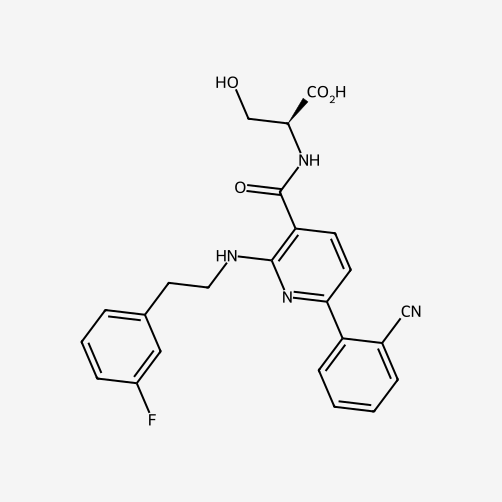 N#Cc1ccccc1-c1ccc(C(=O)N[C@@H](CO)C(=O)O)c(NCCc2cccc(F)c2)n1